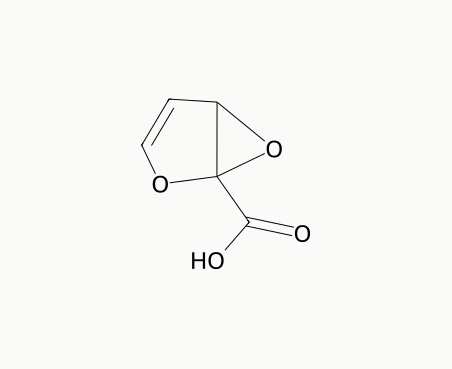 O=C(O)C12OC=CC1O2